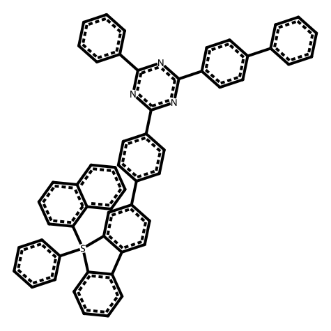 c1ccc(-c2ccc(-c3nc(-c4ccccc4)nc(-c4ccc(-c5ccc6c(c5)S(c5ccccc5)(c5cccc7ccccc57)c5ccccc5-6)cc4)n3)cc2)cc1